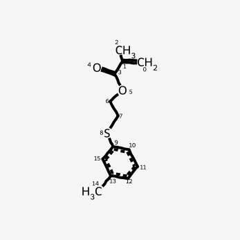 C=C(C)C(=O)OCCSc1cccc(C)c1